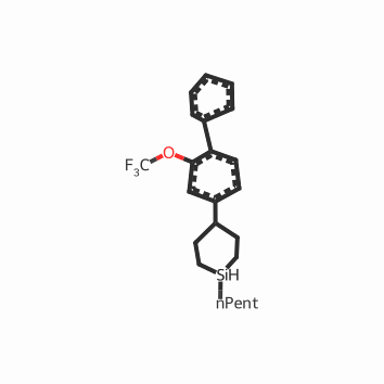 CCCCC[SiH]1CCC(c2ccc(-c3ccccc3)c(OC(F)(F)F)c2)CC1